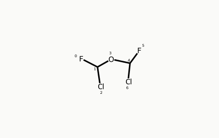 FC(Cl)OC(F)Cl